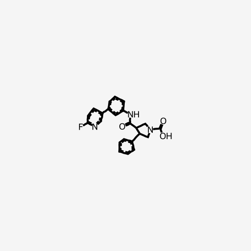 O=C(Nc1cccc(-c2ccc(F)nc2)c1)C1CN(C(=O)O)CC1c1ccccc1